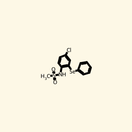 CS(=O)(=O)Nc1ccc(Cl)cc1[Se]c1ccccc1